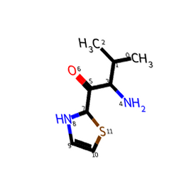 CC(C)C(N)C(=O)C1NC=CS1